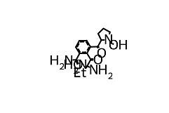 CCC(N)(N)C(=O)c1c(C(N)=O)cccc1C(=O)C1CCCN1O